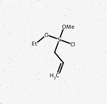 C=CC[Si](Cl)(OC)OCC